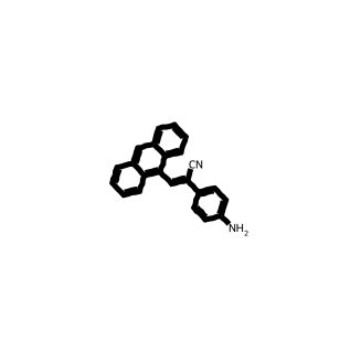 N#C/C(=C\c1c2ccccc2cc2ccccc12)c1ccc(N)cc1